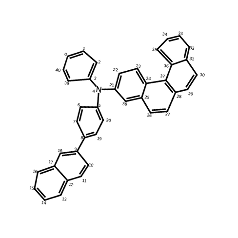 c1ccc(N(c2ccc(-c3ccc4ccccc4c3)cc2)c2ccc3c(ccc4ccc5ccccc5c43)c2)cc1